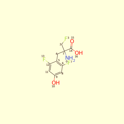 NC(CF)(Cc1c(F)cc(O)cc1F)C(=O)O